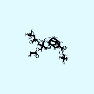 CCC(=O)OCC1(COC(=O)CC(F)(F)F)COC2(OC1)C1CC3CC2CC(C(=O)OCC(C)(F)F)(C3)C1